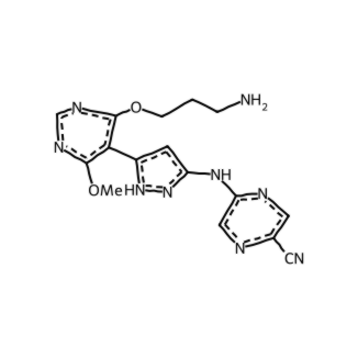 COc1ncnc(OCCCN)c1-c1cc(Nc2cnc(C#N)cn2)n[nH]1